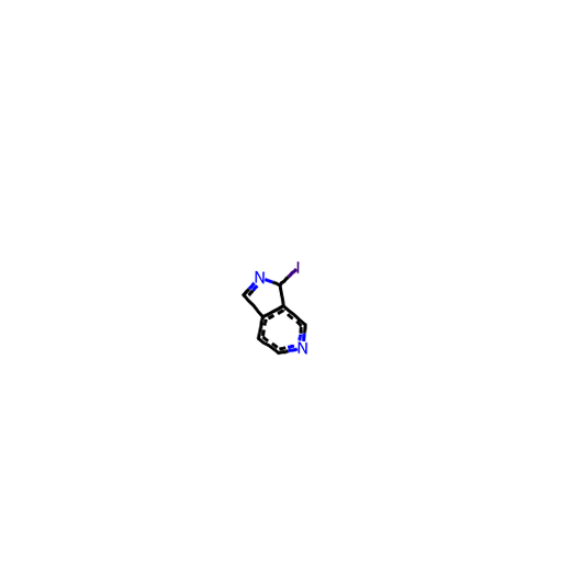 IC1N=Cc2ccncc21